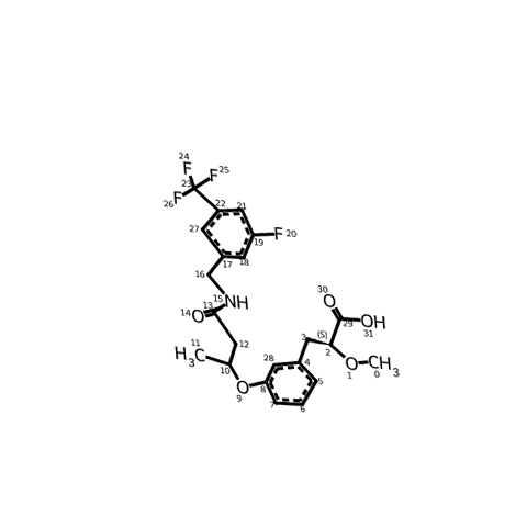 CO[C@@H](Cc1cccc(OC(C)CC(=O)NCc2cc(F)cc(C(F)(F)F)c2)c1)C(=O)O